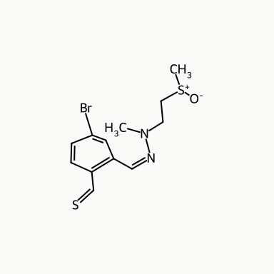 CN(CC[S+](C)[O-])/N=C\c1cc(Br)ccc1C=S